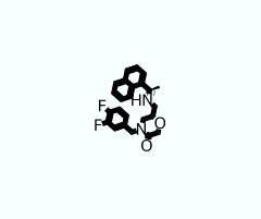 C[C@@H](NCC1CN(Cc2ccc(F)c(F)c2)C(=O)CO1)c1cccc2ccccc12